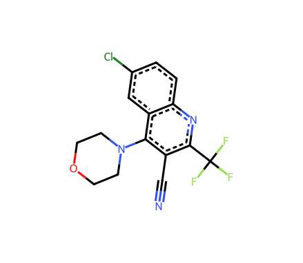 N#Cc1c(C(F)(F)F)nc2ccc(Cl)cc2c1N1CCOCC1